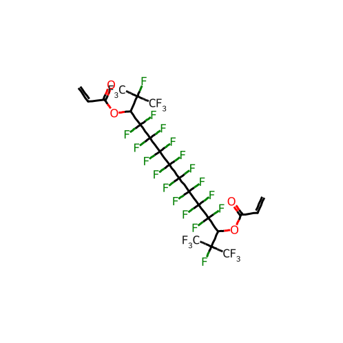 C=CC(=O)OC(C(F)(F)C(F)(F)C(F)(F)C(F)(F)C(F)(F)C(F)(F)C(F)(F)C(F)(F)C(OC(=O)C=C)C(F)(C(F)(F)F)C(F)(F)F)C(F)(C(F)(F)F)C(F)(F)F